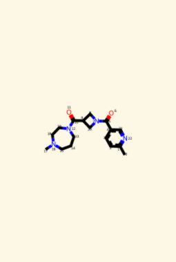 Cc1ccc(C(=O)N2CC(C(=O)N3CCCN(C)CC3)C2)cn1